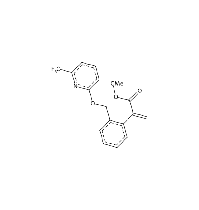 C=C(C(=O)OOC)c1ccccc1COc1cccc(C(F)(F)F)n1